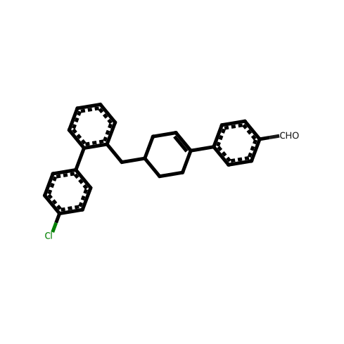 O=Cc1ccc(C2=CCC(Cc3ccccc3-c3ccc(Cl)cc3)CC2)cc1